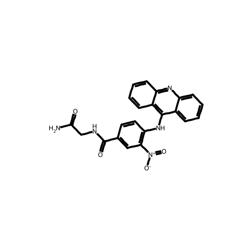 NC(=O)CNC(=O)c1ccc(Nc2c3ccccc3nc3ccccc23)c([N+](=O)[O-])c1